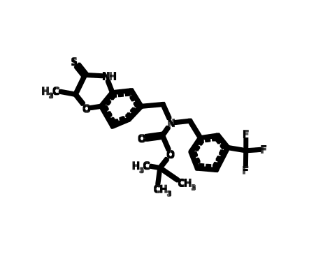 CC1Oc2ccc(CN(Cc3cccc(C(F)(F)F)c3)C(=O)OC(C)(C)C)cc2NC1=S